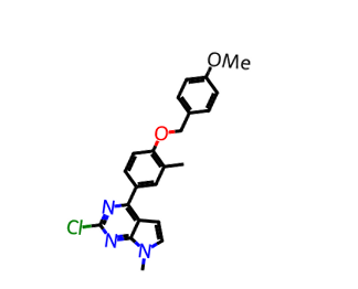 COc1ccc(COc2ccc(-c3nc(Cl)nc4c3ccn4C)cc2C)cc1